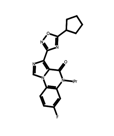 CC(C)n1c(=O)c2c(-c3noc(C4CCCC4)n3)ncn2c2ccc(F)cc21